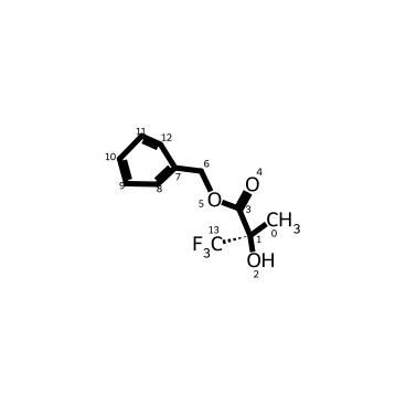 C[C@@](O)(C(=O)OCc1ccccc1)C(F)(F)F